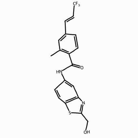 Cc1cc(C=CC(F)(F)F)ccc1C(=O)Nc1ccc2sc(CO)nc2c1